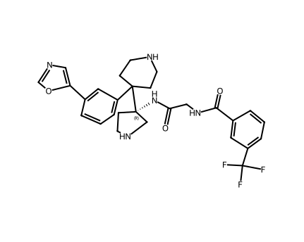 O=C(CNC(=O)c1cccc(C(F)(F)F)c1)N[C@@]1(C2(c3cccc(-c4cnco4)c3)CCNCC2)CCNC1